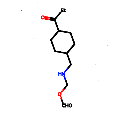 CCC(=O)C1CCC(CNCOC=O)CC1